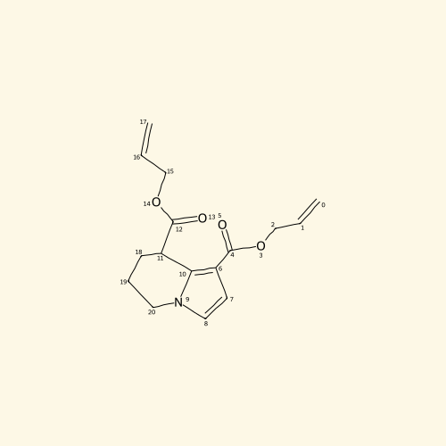 C=CCOC(=O)c1ccn2c1C(C(=O)OCC=C)CCC2